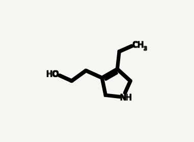 CCC1=C(CCO)CNC1